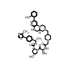 Cc1ncsc1-c1ccc([C@H](C)NC(=O)[C@@H]2C[C@@H](O)CN2C(=O)[C@@H](NC(=O)CN2CCC(CN3CCN4c5cc(-c6ccccc6O)nnc5NC[C@@H]4C3)CC2)C(C)(C)C)cc1